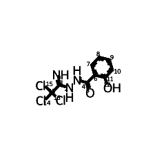 N=C(NNC(=O)c1ccccc1O)C(Cl)(Cl)Cl